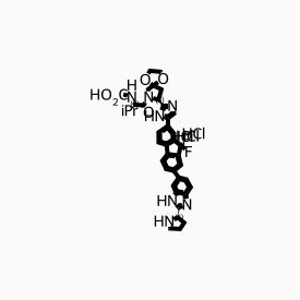 CC(C)[C@H](NC(=O)O)C(=O)N1CC2(C[C@H]1c1ncc(-c3ccc4c(c3)C(F)(F)c3cc(-c5ccc6nc([C@@H]7CCCN7)[nH]c6c5)ccc3-4)[nH]1)OCCO2.Cl.Cl.Cl